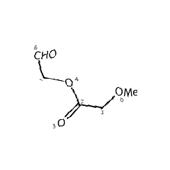 COCC(=O)OCC=O